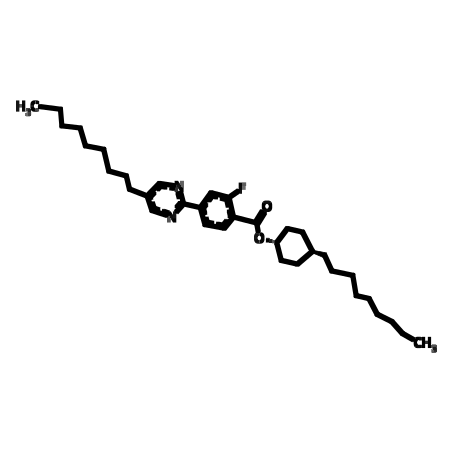 CCCCCCCCCc1cnc(-c2ccc(C(=O)O[C@H]3CC[C@H](CCCCCCCCC)CC3)c(F)c2)nc1